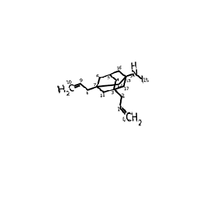 C=CCC12CC3CC(CC=C)(C1)CC(NI)(C3)C2